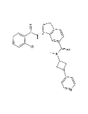 CN(C(=O)c1ccc2c(c1)[C@H](NC(=O)c1ccccc1Cl)CC2)C1CN(c2ccncc2)C1